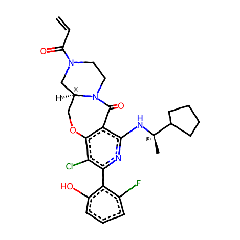 C=CC(=O)N1CCN2C(=O)c3c(N[C@H](C)C4CCCC4)nc(-c4c(O)cccc4F)c(Cl)c3OC[C@H]2C1